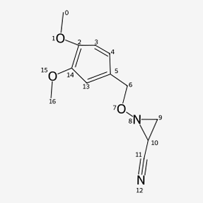 COc1ccc(CON2CC2C#N)cc1OC